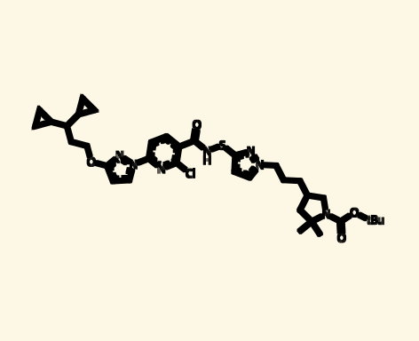 CC(C)(C)OC(=O)N1CC(CCCn2ccc(SNC(=O)c3ccc(-n4ccc(OCCC(C5CC5)C5CC5)n4)nc3Cl)n2)CC1(C)C